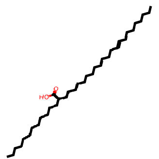 CCCCCCCCC=CCCCCCCCCCCCCC(CCCCCCCCCCCC)C(=O)O